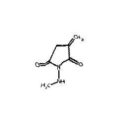 C=C1CC(=O)N(NC)C1=O